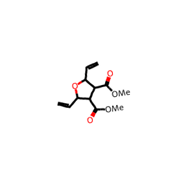 C=CC1OC(C=C)C(C(=O)OC)C1C(=O)OC